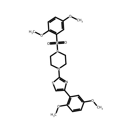 COc1ccc(OC)c(-c2csc(N3CCN(S(=O)(=O)c4cc(OC)ccc4OC)CC3)n2)c1